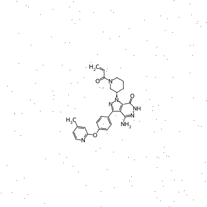 C=CC(=O)N1CCC[C@@H](n2nc(-c3ccc(Oc4cc(C)ccn4)cc3)c3c(N)n[nH]c(=O)c32)C1